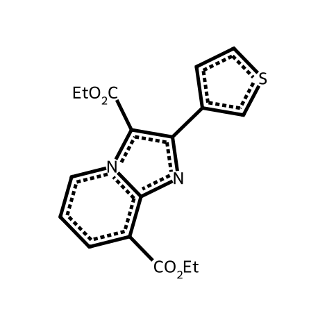 CCOC(=O)c1cccn2c(C(=O)OCC)c(-c3ccsc3)nc12